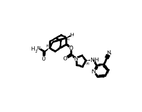 N#Cc1cccnc1N[C@@H]1CCN(C(=O)OC2C3CC4C[C@H]2C[C@@](C(N)=O)(C4)C3)C1